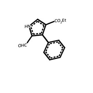 CCOC(=O)c1c[nH]c(C=O)c1-c1ccccc1